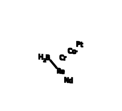 [BH2][Re].[Co].[Cr].[Nd].[Pt]